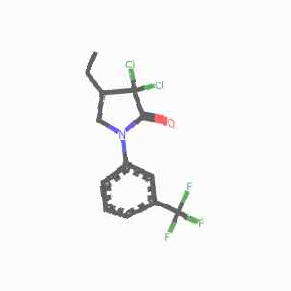 CCC1CN(c2cccc(C(F)(F)F)c2)C(=O)C1(Cl)Cl